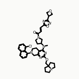 CN(c1nc(OCC23CCCN2CCC3)nc2c1CCN(c1cccc3cccc(Cl)c13)C2)C1CCN(C(=O)/C=C/c2nc(C3COC3)no2)C1